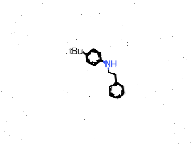 CC(C)(C)c1ccc(NCCc2ccccc2)cc1